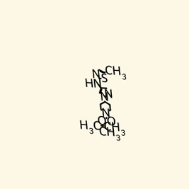 Cc1cnc(Nc2cnn(C3CCN(C(=O)OC(C)(C)C)CC3)c2)s1